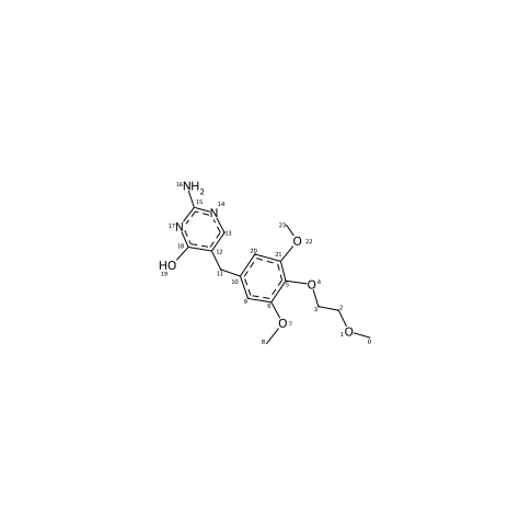 COCCOc1c(OC)cc(Cc2cnc(N)nc2O)cc1OC